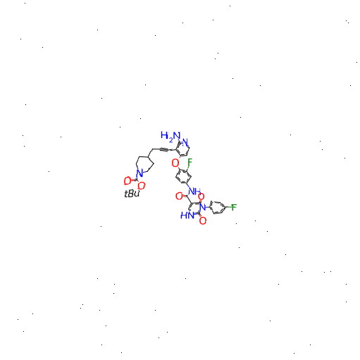 CC(C)(C)OC(=O)N1CCC(CC#Cc2c(Oc3ccc(NC(=O)c4c[nH]c(=O)n(-c5ccc(F)cc5)c4=O)cc3F)ccnc2N)CC1